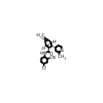 Cc1cc([C@@H]2[C@@H](C(=O)Nc3ccc(Cl)cc3C#N)[C@@H]3O[C@H]2C2C3[C@@H]2C)ccn1